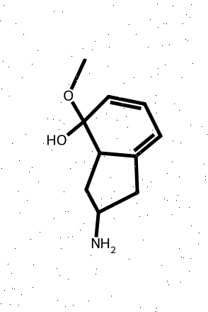 COC1(O)C=CC=C2CC(N)CC21